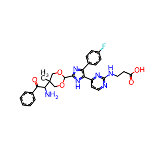 CC1(C(N)C(=O)c2ccccc2)COC(c2nc(-c3ccc(F)cc3)c(-c3ccnc(NCCC(=O)O)n3)[nH]2)OC1